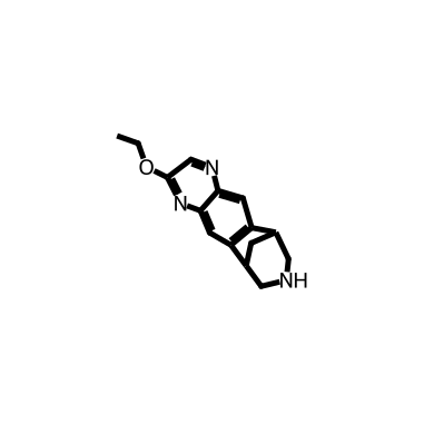 CCOc1cnc2cc3c(cc2n1)C1CNCC3C1